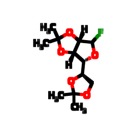 CC1(C)O[C@H]2[C@@H]([C@H]3COC(C)(C)O3)OC(F)[C@H]2O1